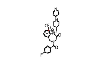 O=C(c1ccc(F)cc1)N1CC(=O)[N+](CC2CCN(c3ccncc3)CC2)(OC(=O)C(F)(F)F)c2ccccc2C1